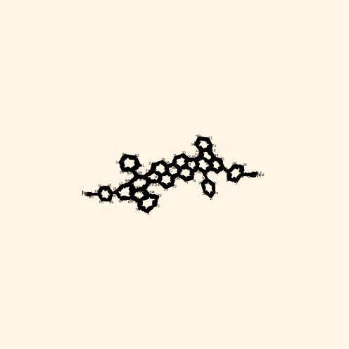 N#Cc1ccc(-c2cc3c(-c4ccccc4)c4c5ccc6c7ccc8c9c(ccc(c%10ccc(c5c6%10)c4c4c5ccccc5c(c2)c34)c79)c2c(-c3ccccc3)c3cc(-c4ccc(C#N)cc4)cc4c5ccccc5c(c34)c82)cc1